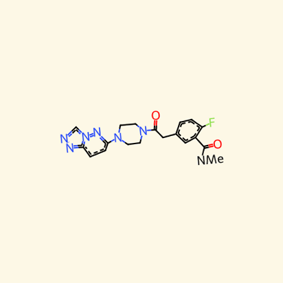 CNC(=O)c1cc(CC(=O)N2CCN(c3ccc4nncn4n3)CC2)ccc1F